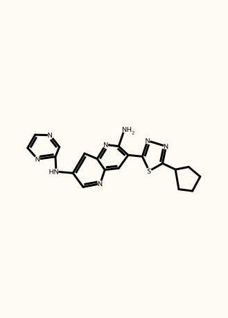 Nc1nc2cc(Nc3cnccn3)cnc2cc1-c1nnc(C2CCCC2)s1